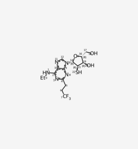 CCNc1nc(CCC(F)(F)F)nc2c1ncn2[C@@H]1O[C@H](CO)[C@@H](O)[C@H]1S